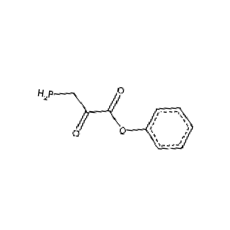 O=C(CP)C(=O)Oc1ccccc1